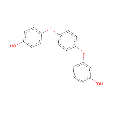 Oc1ccc(Oc2ccc(Oc3cccc(O)c3)cc2)cc1